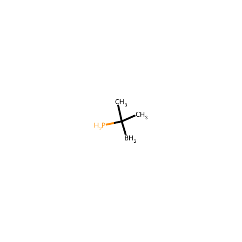 BC(C)(C)P